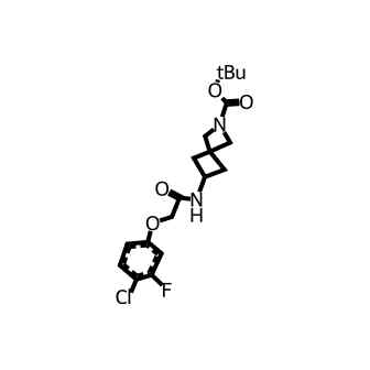 CC(C)(C)OC(=O)N1CC2(CC(NC(=O)COc3ccc(Cl)c(F)c3)C2)C1